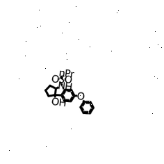 CCCS(=O)(=O)NC1CCCC1(O)c1ccc(Oc2ccccc2)cc1